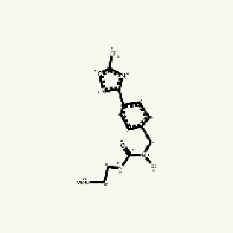 CCN(Cc1ccc(-c2noc(C(F)(F)F)n2)cc1)C(=O)NCCOC